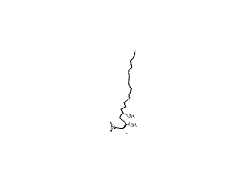 CCCCCCCCCCCCC[C@H](O)C[C@H](O)[C@H](C)N(C)C